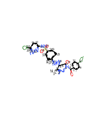 CC1=NN(C(=O)c2ccc(Cl)cc2)C(=O)C1/N=N/c1ccc(S(=O)(=O)Nc2ccc(Cl)nn2)cc1